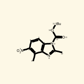 Cc1c([N+](=O)[O-])ccc2c1nc(C)n2C(=O)OC(C)(C)C